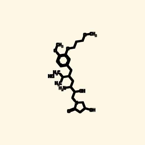 COCCCOc1cc(CC(CC(N)C(O)CN2CC(O)CC2=O)C(C)C)ccc1OC.Cl